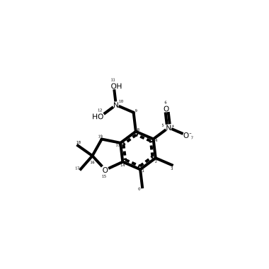 Cc1c(C)c([N+](=O)[O-])c(CN(O)O)c2c1OC(C)(C)C2